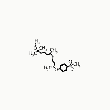 COC(C)(C)CCCC(C)CCCC(C)Oc1ccc(S(C)(=O)=O)cc1